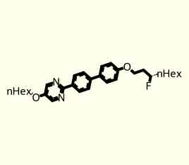 CCCCCCOc1cnc(-c2ccc(-c3ccc(OCC[C@@H](F)CCCCCC)cc3)cc2)nc1